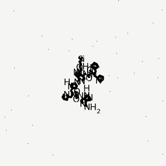 C[Si](C)(C)CCOCn1ncc2c(N)ncc(NC(=O)C(=O)N(Cc3ccccn3)Cc3ccccn3)c21.Nc1ncc(NC(=O)C(=O)N(Cc2ccccn2)Cc2ccccn2)c2[nH]ncc12